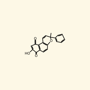 CC1(c2ccccc2)C=Cc2c(ccc3c2C(=O)C=C(O)C3=O)O1